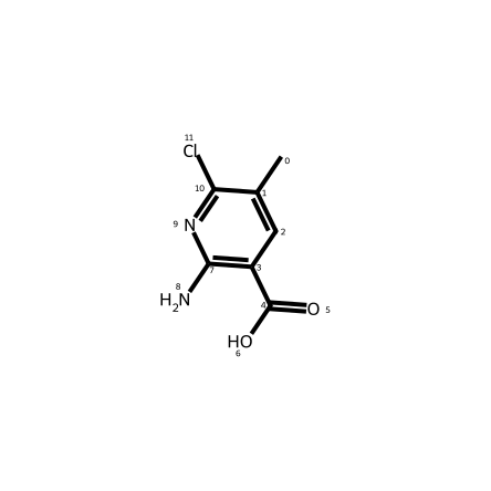 Cc1cc(C(=O)O)c(N)nc1Cl